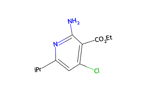 CCOC(=O)c1c(Cl)cc(C(C)C)nc1N